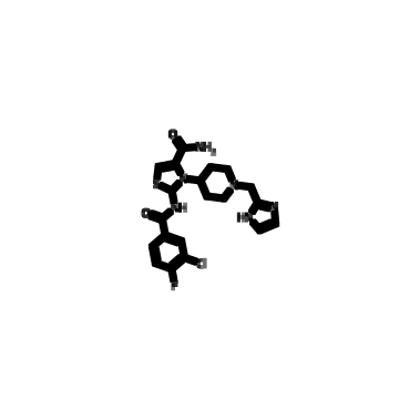 NC(=O)C1=CSC(NC(=O)c2ccc(F)c(Cl)c2)N1C1CCN(Cc2ncc[nH]2)CC1